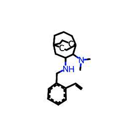 C=Cc1ccccc1CNC1CC23CCCC(CCC2)(CC3)C1N(C)C